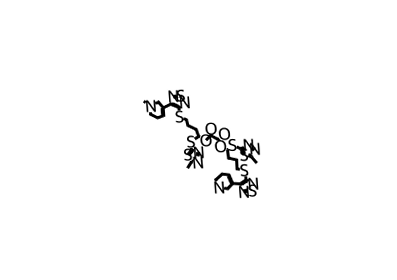 Cc1nnc(SC(CCCSc2nsnc2C2=CCCN(C)C2)OC(=O)C(=O)OC(CCCSc2nsnc2C2=CCCN(C)C2)Sc2nnc(C)s2)s1